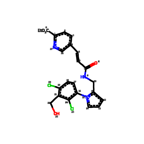 CCOC(=O)c1ccc(C=CC(=O)NCc2cccn2-c2ccc(Cl)c(CO)c2Cl)cn1